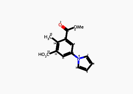 COC(=O)c1cc(-n2cccc2)cc(C(=O)O)c1C